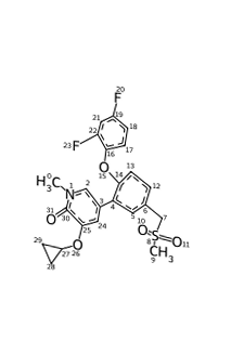 Cn1cc(-c2cc(CS(C)(=O)=O)ccc2Oc2ccc(F)cc2F)cc(OC2CC2)c1=O